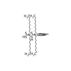 CCCCCCCCCCN(CCCCCCCCCC)C(=S)S.CCCCCCCCCCN(CCCCCCCCCC)C(=S)S.[S-2].[S-2].[Zn+2].[Zn+2].[Zn+2]